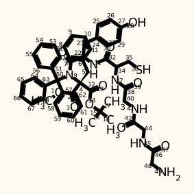 COC(=O)[C@@](Cc1ccccc1)(C(=O)OC(C)(C)C)N(C(=O)C(Cc1ccc(O)cc1)NC(=O)C(CS)NC(=O)CNC(=O)CNC(=O)CN)C(c1ccccc1)(c1ccccc1)c1ccccc1